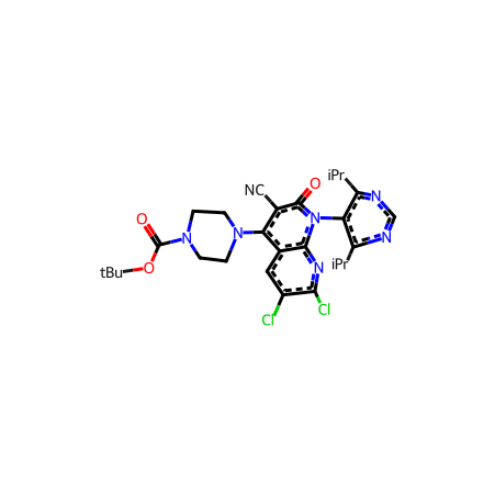 CC(C)c1ncnc(C(C)C)c1-n1c(=O)c(C#N)c(N2CCN(C(=O)OC(C)(C)C)CC2)c2cc(Cl)c(Cl)nc21